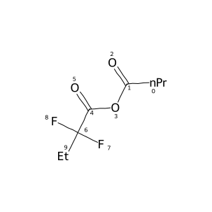 CCCC(=O)OC(=O)C(F)(F)CC